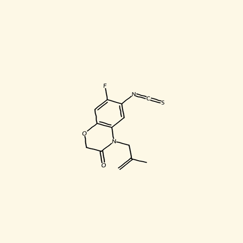 C=C(C)CN1C(=O)COc2cc(F)c(N=C=S)cc21